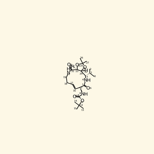 CC(C)[C@@H]1NC(=O)[C@@H](NC(=O)OC(C)(C)C)/C=C/CCNC(=O)[C@H]2OC(C)(C)O[C@@H]21